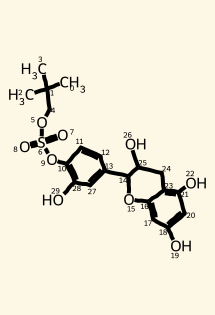 CC(C)(C)COS(=O)(=O)Oc1ccc(C2Oc3cc(O)cc(O)c3CC2O)cc1O